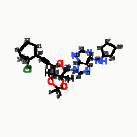 CC1(C)O[C@@H]2[C@H](O1)[C@@H](C#Cc1ccccc1Cl)O[C@H]2n1cnc2c(NC3CCCC3)ncnc21